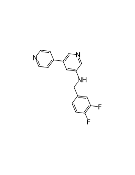 Fc1ccc(CNc2cncc(-c3ccncc3)c2)cc1F